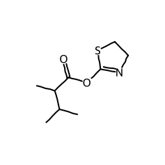 CC(C)C(C)C(=O)OC1=NCCS1